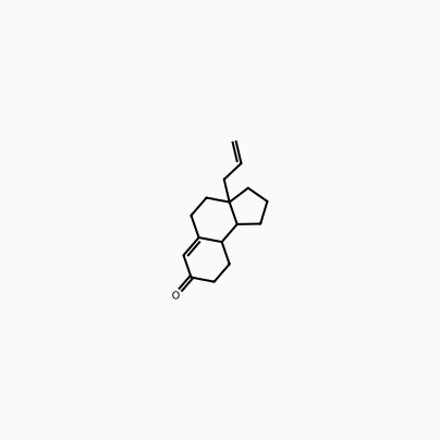 C=CCC12CCCC1C1CCC(=O)C=C1CC2